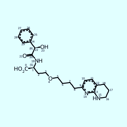 O=C(O)[C@H](CCOCCCCc1ccc2c(n1)NCCC2)NC(=O)[C@H](O)c1ccccc1